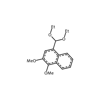 CCOC(OCC)c1cc(OC)c(OC)c2ccccc12